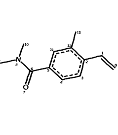 C=Cc1ccc(C(=O)N(C)C)cc1C